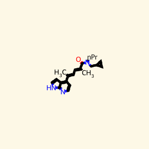 CCCN(CC1CC1)C(=O)/C(C)=C/C=C(\C)c1ccnc2[nH]ccc12